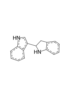 c1ccc2c(c1)CC(c1c[nH]c3ccccc13)N2